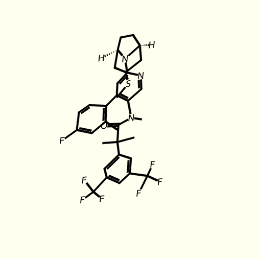 CS[C@H]1C[C@H]2CC[C@@H](C1)N2c1cc(-c2ccc(F)cc2C)c(N(C)C(=O)C(C)(C)c2cc(C(F)(F)F)cc(C(F)(F)F)c2)cn1